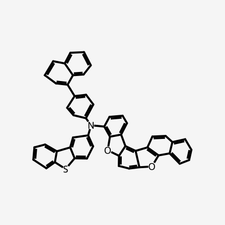 c1ccc2c(-c3ccc(N(c4ccc5sc6ccccc6c5c4)c4cccc5c4oc4ccc6oc7c8ccccc8ccc7c6c45)cc3)cccc2c1